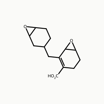 O=C(O)C1=C(CC2CCC3OC3C2)C2OC2CC1